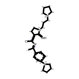 N=C1/C(=C(Cl)\N=C(/I)c2ccc(N3CCCC3)cc2)CCN1CCCN1CCCC1